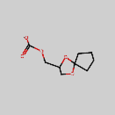 [O]C(=O)OCC1COC2(CCCC2)O1